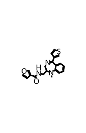 CN1c2ccccc2C(c2ccsc2)=NCC1CNC(=O)c1ccoc1